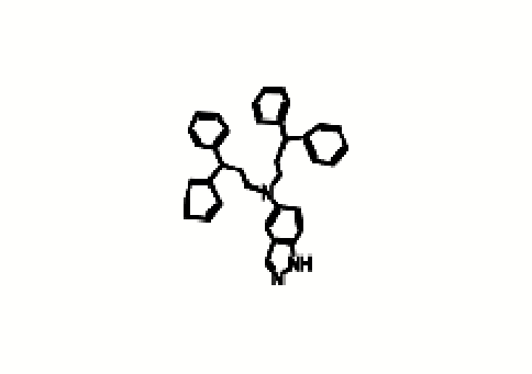 c1ccc(C(CCN(CCC(c2ccccc2)c2ccccc2)c2ccc3[nH]ncc3c2)c2ccccc2)cc1